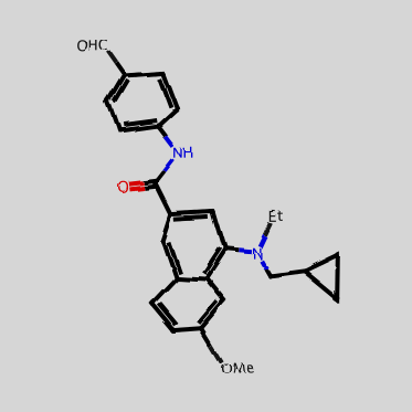 CCN(CC1CC1)c1cc(C(=O)Nc2ccc(C=O)cc2)cc2ccc(OC)cc12